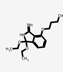 CCCCOc1cccc2c1C(=N)NC2(OCC)OCC